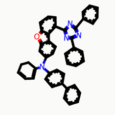 C1=CCCC(N(c2ccc(-c3ccccc3)cc2)c2ccc3c(c2)oc2cccc(-c4nc(-c5ccccc5)nc(-c5ccccc5)n4)c23)=C1